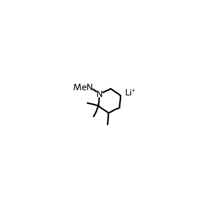 C[N-]N1CCCC(C)C1(C)C.[Li+]